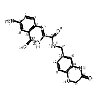 Nc1ccc2nc(C(=O)NCc3ccc4c(c3)NC(=O)CO4)[nH]c(=O)c2c1